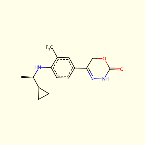 C[C@@H](Nc1ccc(C2=NNC(=O)OC2)cc1C(F)(F)F)C1CC1